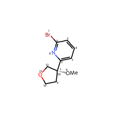 CO[C@]1(c2cccc(Br)n2)CCOC1